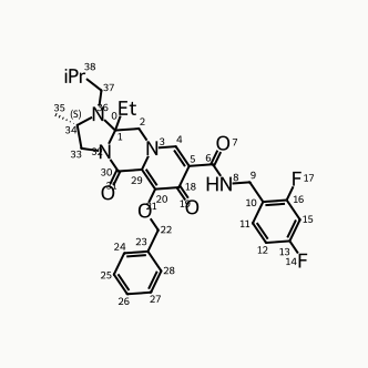 CCC12Cn3cc(C(=O)NCc4ccc(F)cc4F)c(=O)c(OCc4ccccc4)c3C(=O)N1C[C@H](C)N2CC(C)C